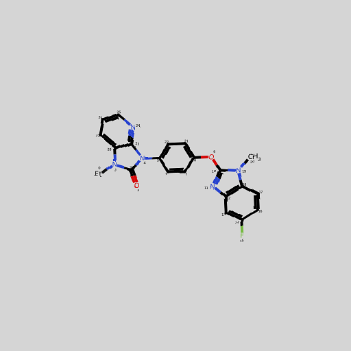 CCn1c(=O)n(-c2ccc(Oc3nc4cc(F)ccc4n3C)cc2)c2ncccc21